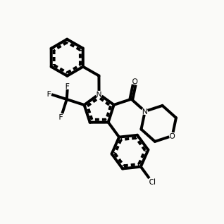 O=C(c1c(-c2ccc(Cl)cc2)cc(C(F)(F)F)n1Cc1ccccc1)N1CCOCC1